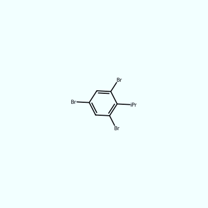 CC(C)c1c(Br)cc(Br)cc1Br